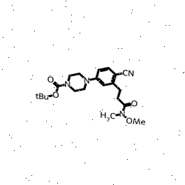 CON(C)C(=O)CCc1cc(N2CCN(C(=O)OC(C)(C)C)CC2)ccc1C#N